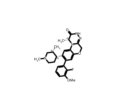 COc1cccc(-c2cc3c(cc2[C@@H]2CCN(C)C[C@@H]2C)N2C(=NNC(=O)[C@H]2C)CO3)c1F